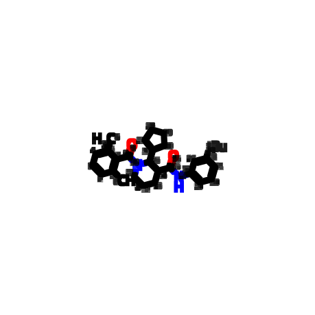 Cc1cccc(C)c1C(=O)N1CCCC(C(=O)Nc2cccc(C(C)(C)C)c2)C1C1CCCC1